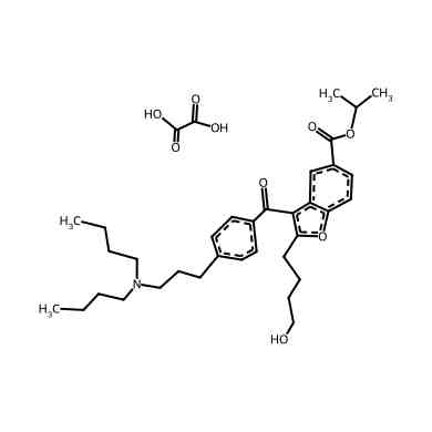 CCCCN(CCCC)CCCc1ccc(C(=O)c2c(CCCCO)oc3ccc(C(=O)OC(C)C)cc23)cc1.O=C(O)C(=O)O